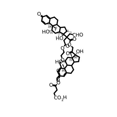 C[C@H]1CC2C3CCC4=CC(=O)C=C[C@]4(C)[C@@]3(F)[C@@H](O)C[C@]2(C)[C@@]1(O)C(CC=O)(CC(=O)OCCOCCOCCOC(=O)CCC(=O)O)C(=O)OCC(=O)[C@@]1(O)CCC2C3CCC4=CC(=O)C=C[C@]4(C)C3[C@@H](O)C[C@@]21C